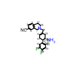 N#Cc1ccc2c(c1)CN(CC1=CC[C@H](c3cc(F)c(F)cc3F)[C@@H](N)C1)CC2